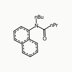 CCCCN(C(=O)CCC)c1cccc2ccccc12